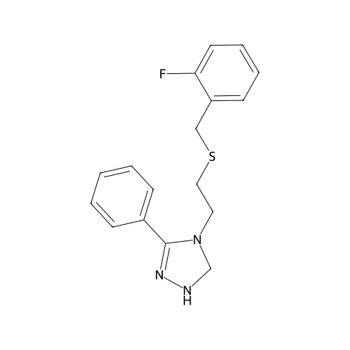 Fc1ccccc1CSCCN1CNN=C1c1ccccc1